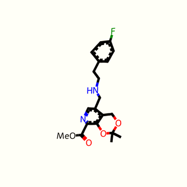 COC(=O)c1ncc(CNCCc2ccc(F)cc2)c2c1OC(C)(C)OC2